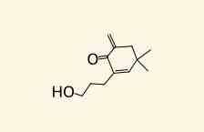 C=C1CC(C)(C)C=C(CCCO)C1=O